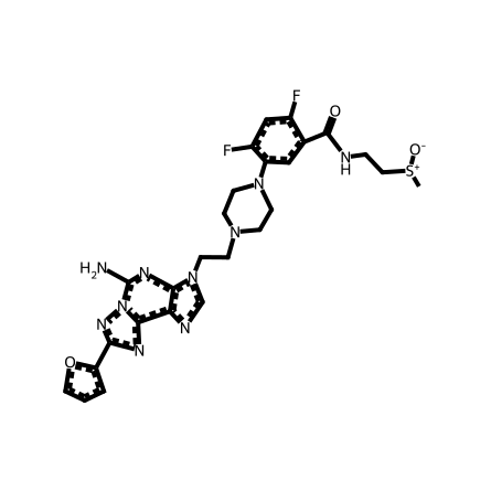 C[S+]([O-])CCNC(=O)c1cc(N2CCN(CCn3cnc4c3nc(N)n3nc(-c5ccco5)nc43)CC2)c(F)cc1F